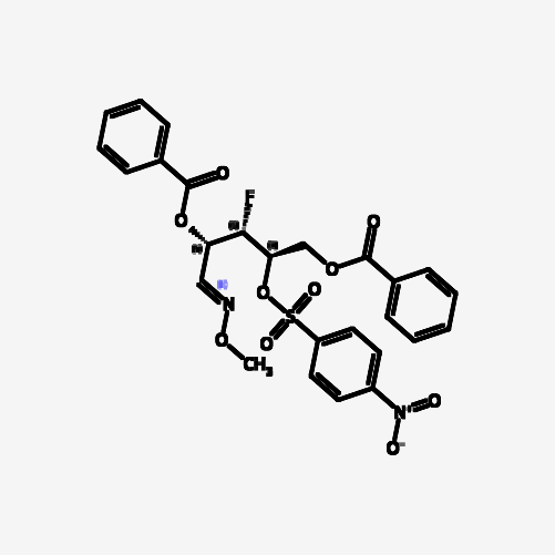 CO/N=C/[C@H](OC(=O)c1ccccc1)[C@H](F)[C@@H](COC(=O)c1ccccc1)OS(=O)(=O)c1ccc([N+](=O)[O-])cc1